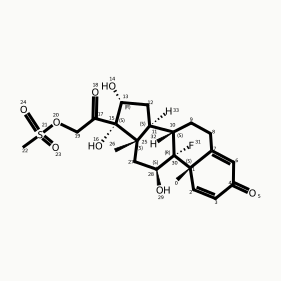 C[C@]12C=CC(=O)C=C1CC[C@H]1[C@@H]3C[C@@H](O)[C@](O)(C(=O)COS(C)(=O)=O)[C@@]3(C)C[C@H](O)[C@@]12F